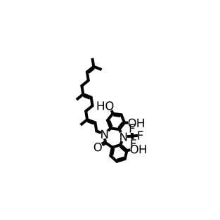 CC(C)=CCC/C(C)=C/CC/C(C)=C/CN1C(=O)c2cccc(O)c2N(C(F)(F)F)c2c(O)cc(O)cc21